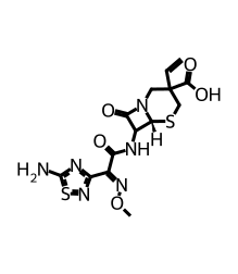 C=CC1(C(=O)O)CS[C@@H]2C(NC(=O)C(=NOC)c3nsc(N)n3)C(=O)N2C1